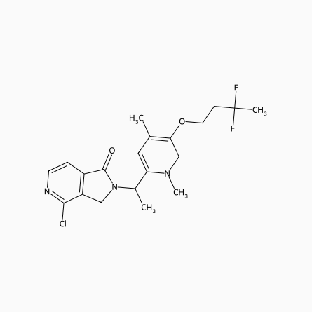 CC1=C(OCCC(C)(F)F)CN(C)C(C(C)N2Cc3c(ccnc3Cl)C2=O)=C1